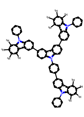 [2H]c1c([2H])c([2H])c2c(c1[2H])c1cc(-c3ccc(-n4c5ccc(-c6ccc7c(c6)c6c([2H])c([2H])c([2H])c([2H])c6n7-c6ccccc6)cc5c5cc(-c6ccc7c(c6)c6c([2H])c([2H])c([2H])c([2H])c6n7-c6ccccc6)ccc54)cc3)ccc1n2-c1ccccc1